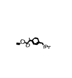 C=COC(=O)[C@@H](C)c1ccc(CC(C)C)cc1